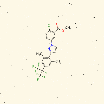 COC(=O)c1cc(-n2ccc(-c3c(C)cc(C(F)(C(F)(F)F)C(F)(F)F)cc3C)n2)ccc1Cl